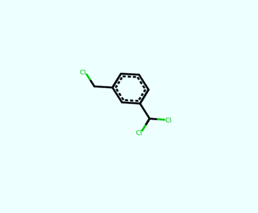 ClCc1cccc(C(Cl)Cl)c1